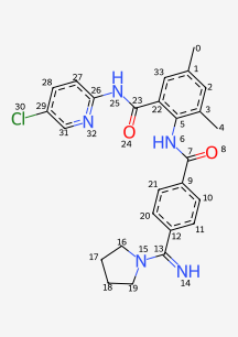 Cc1cc(C)c(NC(=O)c2ccc(C(=N)N3CCCC3)cc2)c(C(=O)Nc2ccc(Cl)cn2)c1